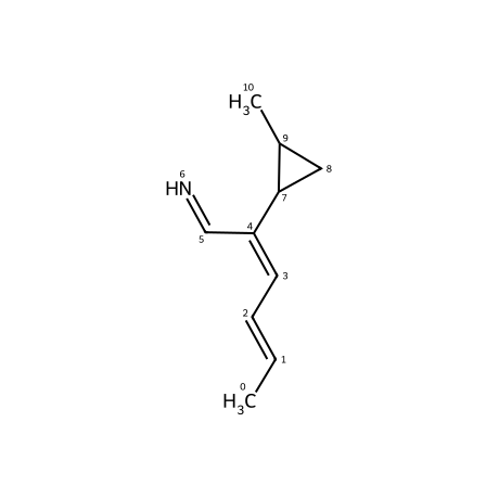 C/C=C/C=C(\C=N)C1CC1C